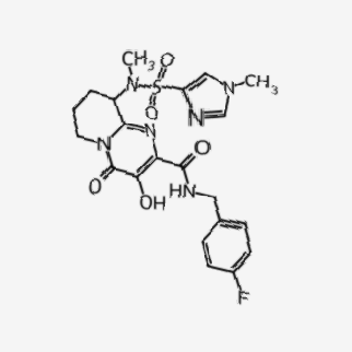 CN(C1CCCn2c1nc(C(=O)NCc1ccc(F)cc1)c(O)c2=O)S(=O)(=O)c1cn(C)cn1